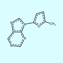 Cc1ccc(-n2cnc3cncnc32)o1